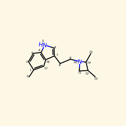 Cc1ccc2[nH]cc(CCN3CC(C)C3C)c2c1